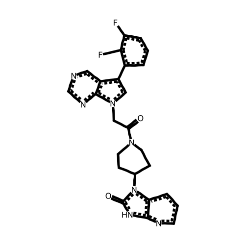 O=C(Cn1cc(-c2cccc(F)c2F)c2cncnc21)N1CCC(n2c(=O)[nH]c3ncccc32)CC1